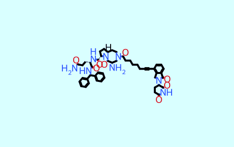 NC(=O)CC[C@H](NC(=O)[C@@H]1CC[C@@H]2CCN(C(=O)CCCCCC#Cc3cccc4c3CN(C3CCC(=O)NC3=O)C4=O)C[C@H](N)C(=O)N21)C(=O)NC(c1ccccc1)c1ccccc1